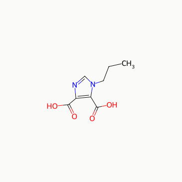 CCCn1cnc(C(=O)O)c1C(=O)O